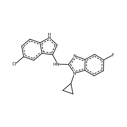 Fc1ccc2c(c1)nc(Nc1c[nH]c3ccc(Cl)cc13)n2C1CC1